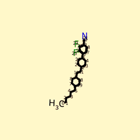 CCCCCCC1CCC(CCC2CCC(c3ccc(C#N)c(F)c3F)CC2)CC1